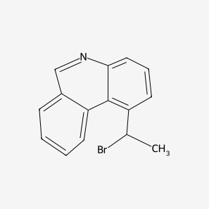 CC(Br)c1cccc2ncc3ccccc3c12